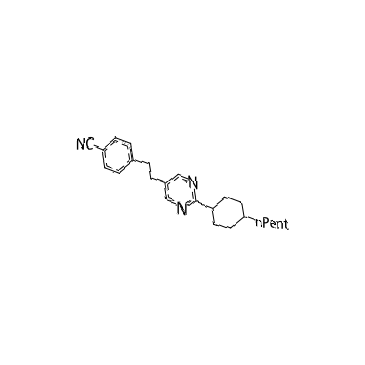 CCCCCC1CCC(c2ncc(CCc3ccc(C#N)cc3)cn2)CC1